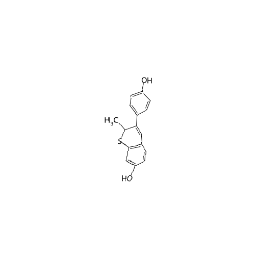 CC1Sc2cc(O)ccc2C=C1c1ccc(O)cc1